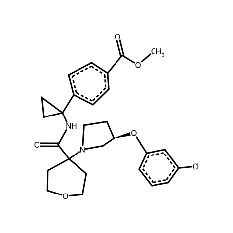 COC(=O)c1ccc(C2(NC(=O)C3(N4CC[C@@H](Oc5cccc(Cl)c5)C4)CCOCC3)CC2)cc1